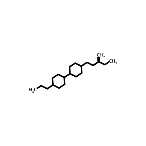 C=C(CC)CCC1CCC(C2CCC(CCC)CC2)CC1